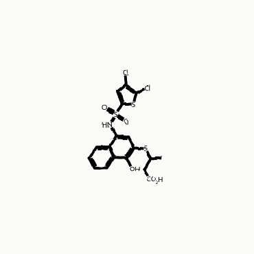 CC(CC(=O)O)Sc1cc(NS(=O)(=O)c2cc(Cl)c(Cl)s2)c2ccccc2c1O